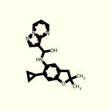 CC1(C)Cc2cc(NC(O)c3cnn4cccnc34)c(C3CC3)cc2O1